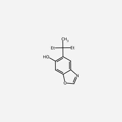 CCC(C)(CC)c1cc2ncoc2cc1O